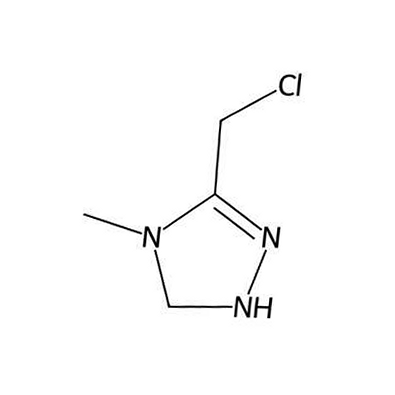 CN1CNN=C1CCl